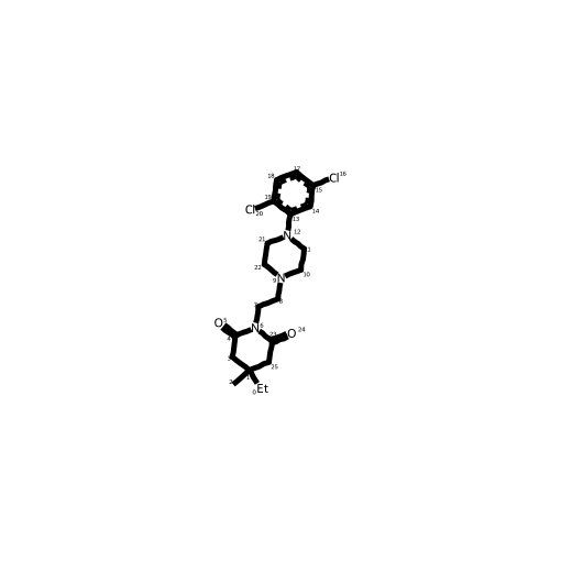 CCC1(C)CC(=O)N(CCN2CCN(c3cc(Cl)ccc3Cl)CC2)C(=O)C1